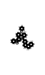 c1ccc(-n2c3ccccc3c3c(N(c4ccc5c(ccc6ccc7ccccc7c65)c4)c4ccc5c(c4)oc4ccccc45)cccc32)cc1